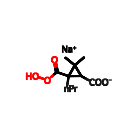 CCCC1(C(=O)OO)C(C(=O)[O-])C1(C)C.[Na+]